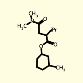 CC1CCCC(OC(=O)C(CC(=O)N(C)C)C(C)C)C1